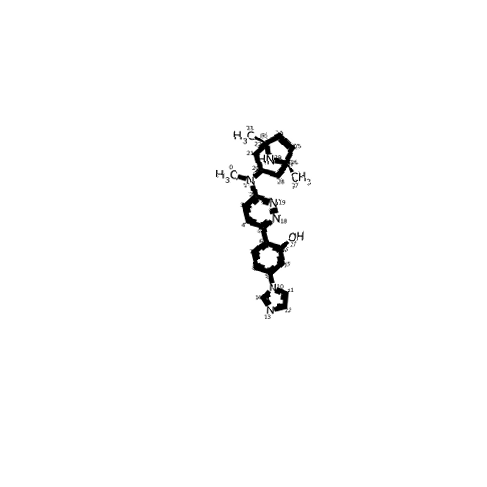 CN(c1ccc(-c2ccc(-n3ccnc3)cc2O)nn1)C1C[C@]2(C)C=C[C@](C)(C1)N2